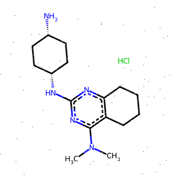 CN(C)c1nc(N[C@H]2CC[C@@H](N)CC2)nc2c1CCCC2.Cl